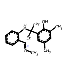 CCCC(CC)(Pc1ccccc1/C=N/C)c1cc(C)cc(C)c1O